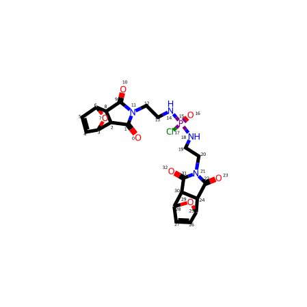 O=C1C2C3C=CC(O3)C2C(=O)N1CCNP(=O)(Cl)NCCN1C(=O)C2C3C=CC(O3)C2C1=O